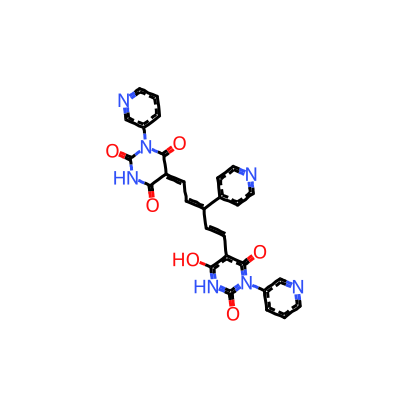 O=C1NC(=O)N(c2cccnc2)C(=O)C1=CC=C(C=Cc1c(O)[nH]c(=O)n(-c2cccnc2)c1=O)c1ccncc1